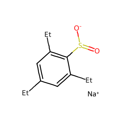 CCc1cc(CC)c(S(=O)[O-])c(CC)c1.[Na+]